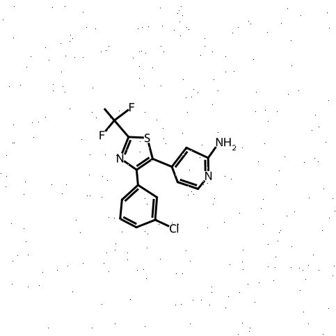 CC(F)(F)c1nc(-c2cccc(Cl)c2)c(-c2ccnc(N)c2)s1